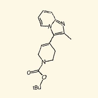 Cc1nc2ccccn2c1C1=CCN(C(=O)OC(C)(C)C)CC1